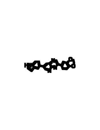 c1cc2cc(-c3cnc4nc(-c5ccc6c(c5)OCCO6)cnc4c3)ccc2[nH]1